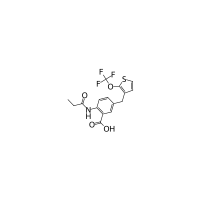 CCC(=O)Nc1ccc(Cc2ccsc2OC(F)(F)F)cc1C(=O)O